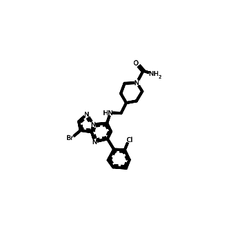 NC(=O)N1CCC(CNc2cc(-c3ccccc3Cl)nc3c(Br)cnn23)CC1